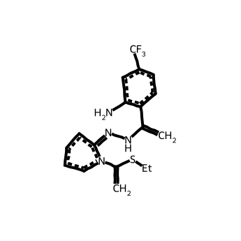 C=C(N/N=c1/ccccn1C(=C)SCC)c1ccc(C(F)(F)F)cc1N